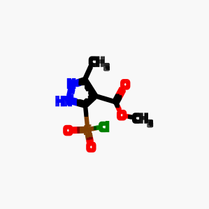 COC(=O)c1c(C)n[nH]c1S(=O)(=O)Cl